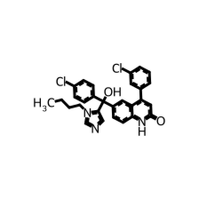 CCCCn1cncc1C(O)(c1ccc(Cl)cc1)c1ccc2[nH]c(=O)cc(-c3cccc(Cl)c3)c2c1